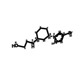 OCCN[C@H]1CCC[C@H](n2cc(Br)cn2)C1